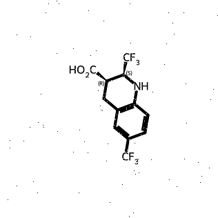 O=C(O)[C@@H]1Cc2cc(C(F)(F)F)ccc2N[C@@H]1C(F)(F)F